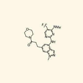 CNc1nc(Nc2cc(CCC(=O)N3CCOCC3)cc3c2cnn3C)ncc1C(F)(F)F